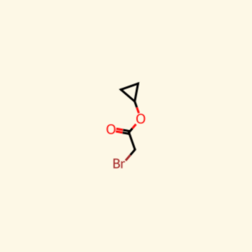 O=C(CBr)OC1CC1